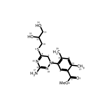 COC(=O)c1cc(N2CC(SCC(O)CO)=NC(N)=N2)c(C)cc1C